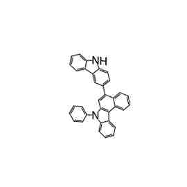 c1ccc(-n2c3ccccc3c3c4ccccc4c(-c4ccc5[nH]c6ccccc6c5c4)cc32)cc1